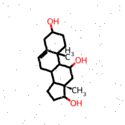 CC12CCC(O)CC1=CCC1C2C(O)C[C@]2(C)C(O)CCC12